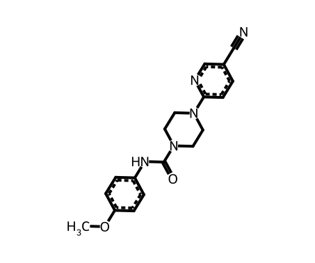 COc1ccc(NC(=O)N2CCN(c3ccc(C#N)cn3)CC2)cc1